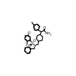 Cc1ccc(C(C(N)=O)C2CCC(CN(Cc3ccccc3)S(=O)(=O)c3cc(Cl)ccc3Cl)CC2)cc1